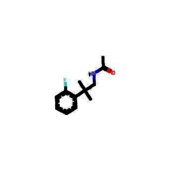 CC(=O)NCC(C)(C)c1ccccc1F